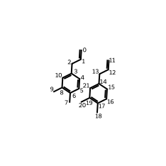 C=CCc1ccc(C)c(C)c1.C=CCc1ccc(C)c(C)c1